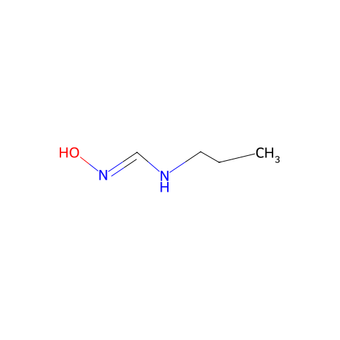 CCCNC=NO